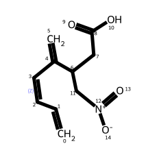 C=C/C=C\C(=C)C(CC(=O)O)C[N+](=O)[O-]